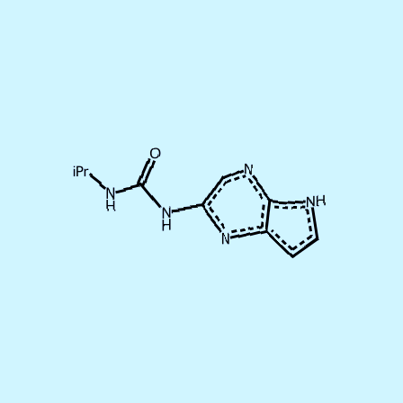 CC(C)NC(=O)Nc1cnc2[nH]ccc2n1